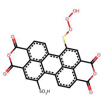 O=C1OC(=O)c2cc(SOOO)c3c4ccc5c6c(cc(S(=O)(=O)O)c(c7ccc1c2c73)c64)C(=O)OC5=O